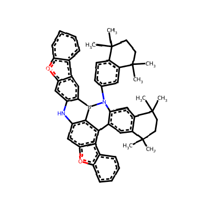 CC1(C)CCC(C)(C)c2cc(N3B4c5cc6c(cc5Nc5cc7oc8ccccc8c7c(c54)-c4cc5c(cc43)C(C)(C)CCC5(C)C)oc3ccccc36)ccc21